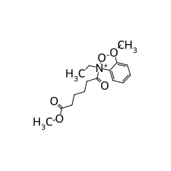 CC[N+]([O-])(C(=O)CCCCC(=O)OC)c1ccccc1OC